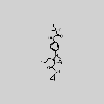 CCCc1c(C(=O)NC2CC2)nnn1-c1ccc(NC(=O)C(F)(F)F)cc1